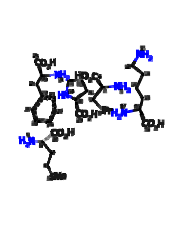 CC(C)C[C@H](N)C(=O)O.CSCC[C@H](N)C(=O)O.NCCCC[C@H](N)C(=O)O.N[C@@H](Cc1ccccc1)C(=O)O.O=C(O)[C@@H]1CCCN1